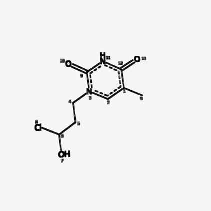 Cc1cn(CCC(O)Cl)c(=O)[nH]c1=O